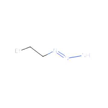 CCCCN=NN